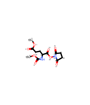 CC(C)(C)OC(=O)CCC(NC(=O)OC(C)(C)C)C(=O)ON1C(=O)CCC1=O